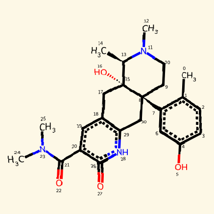 Cc1ccc(O)cc1[C@]12CCN(C)[C@H](C)[C@]1(O)Cc1cc(C(=O)N(C)C)c(=O)[nH]c1C2